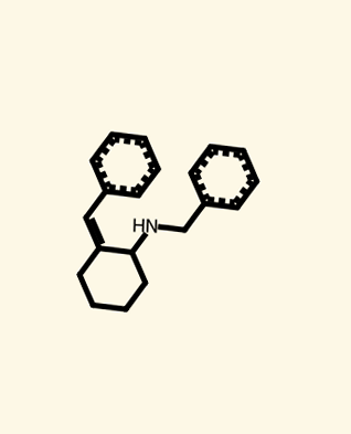 C(=C1CCCCC1NCc1ccccc1)c1ccccc1